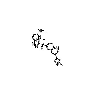 Cn1cc(-c2cnc3ccc(C(F)(F)c4nnc5ccc(N)nn45)cc3c2)cn1